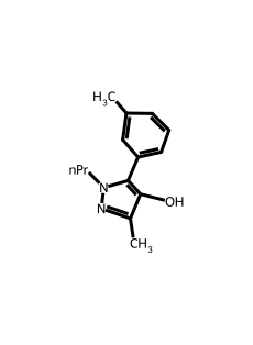 CCCn1nc(C)c(O)c1-c1cccc(C)c1